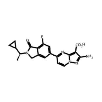 C[C@@H](C1CC1)N1Cc2cc(-c3ccn4nc(N)c(C(=O)O)c4n3)cc(F)c2C1=O